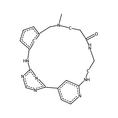 CN1CCC(=O)NCCNc2cc(ccn2)-c2ncnc(n2)Nc2cccc(c2)C1